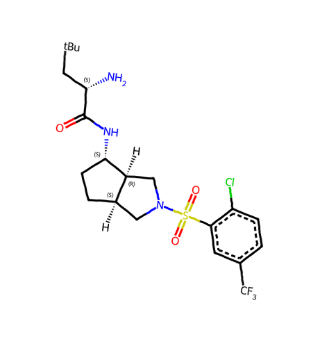 CC(C)(C)C[C@H](N)C(=O)N[C@H]1CC[C@@H]2CN(S(=O)(=O)c3cc(C(F)(F)F)ccc3Cl)C[C@@H]21